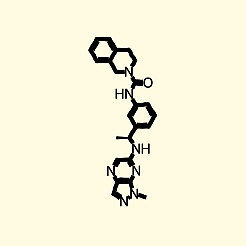 C[C@H](Nc1cnc2cnn(C)c2n1)c1cccc(NC(=O)N2CCc3ccccc3C2)c1